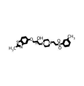 Cc1cc[c]c(S(=O)(=O)CCN2CCN(C[C@@H](O)COc3ccc4sc(C)nc4c3)CC2)c1